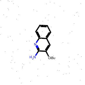 CC(C)COc1cc2ccccc2nc1N